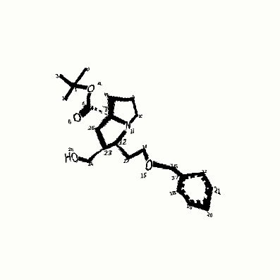 CC(C)(C)OC(=O)[C@]12CCCN1[C@@H](CCOCc1ccccc1)[C@@H](CO)C2